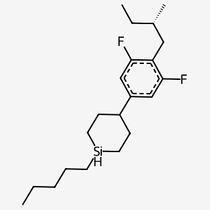 CCCCC[SiH]1CCC(c2cc(F)c(C[C@@H](C)CC)c(F)c2)CC1